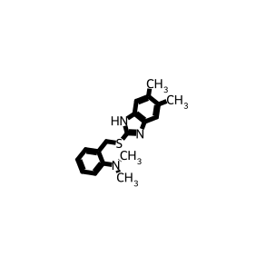 Cc1cc2nc(SCc3ccccc3N(C)C)[nH]c2cc1C